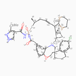 COc1nn(C)cc1C(=O)N[S@@]1(=O)=NC(=O)c2ccc3c(c2)N(C[C@@H]2CC[C@H]2[C@](OC)(C2SCCCS2)/C=C/C[C@H](C)C1)C[C@@]1(CCCc2cc(Cl)ccc21)CO3